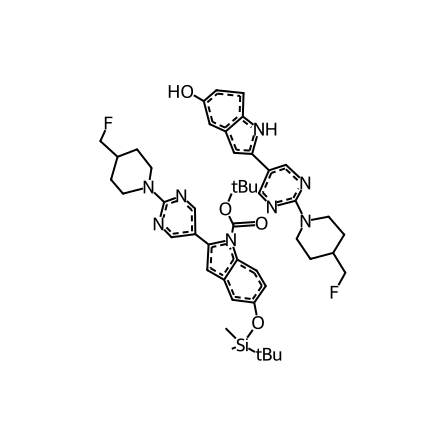 CC(C)(C)OC(=O)n1c(-c2cnc(N3CCC(CF)CC3)nc2)cc2cc(O[Si](C)(C)C(C)(C)C)ccc21.Oc1ccc2[nH]c(-c3cnc(N4CCC(CF)CC4)nc3)cc2c1